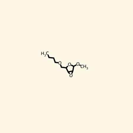 CCCCOCC1OC(OC)C2OC12